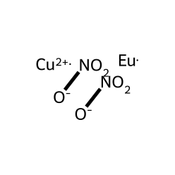 O=[N+]([O-])[O-].O=[N+]([O-])[O-].[Cu+2].[Eu]